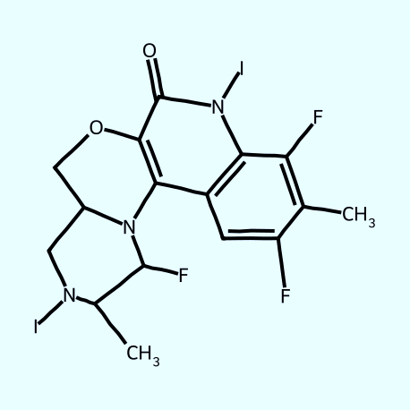 Cc1c(F)cc2c3c(c(=O)n(I)c2c1F)OCC1CN(I)C(C)C(F)N31